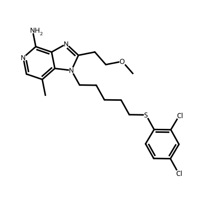 COCCc1nc2c(N)ncc(C)c2n1CCCCCSc1ccc(Cl)cc1Cl